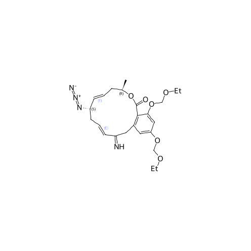 CCOCOc1cc2c(c(OCOCC)c1)C(=O)O[C@H](C)C/C=C/[C@@H](N=[N+]=[N-])C/C=C/C(=N)C2